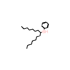 CCCCCCCC(Bc1ccccc1)CCCCCCC